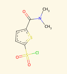 CN(C)C(=O)c1ccc(S(=O)(=O)Cl)s1